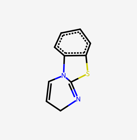 C1=CN2C(=NC1)Sc1ccccc12